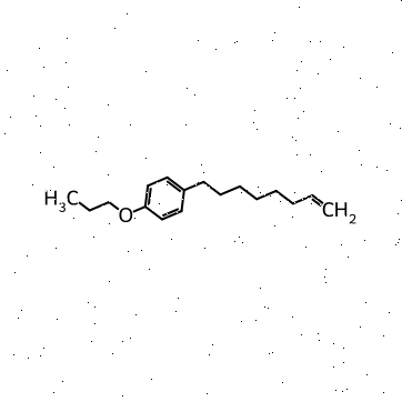 C=CCCCCCCc1ccc(OCCC)cc1